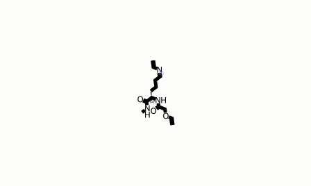 C=C/N=C\CCC[C@H](NC(=O)COC=C)C(=O)NC